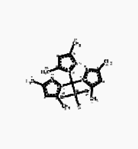 Cc1cc(C)n([C](n2nc(C)cc2C)(n2nc(C)cc2C)[Ti]([Br])([Br])[Br])n1